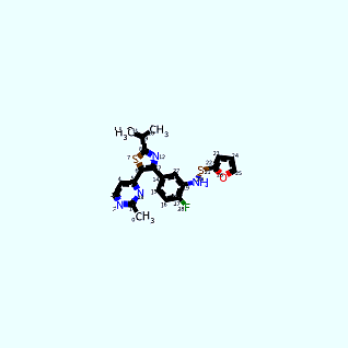 Cc1nccc(-c2sc(C(C)C)nc2-c2ccc(F)c(NSc3ccco3)c2)n1